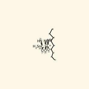 CCCCCCCCC.N=C=O.N=C=O.N=C=O.[SnH2]